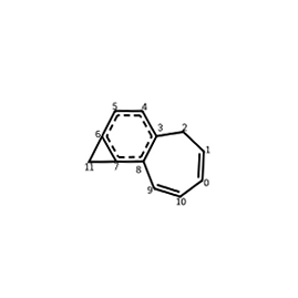 C1=CCc2ccc3c(c2C=C1)C3